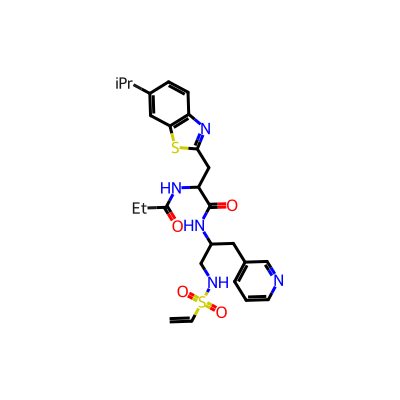 C=CS(=O)(=O)NCC(Cc1cccnc1)NC(=O)C(Cc1nc2ccc(C(C)C)cc2s1)NC(=O)CC